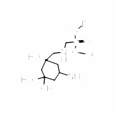 CCOP(=O)(CNCC1(C)CC(N)CC(C)(C)C1)OCC